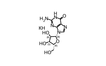 Nc1nc2c(ncn2[C@@H]2O[C@H](CO)[C@@H](O)[C@H]2O)c(=O)[nH]1.[KH]